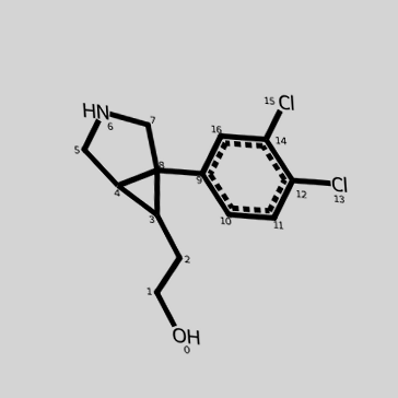 OCCC1C2CNCC12c1ccc(Cl)c(Cl)c1